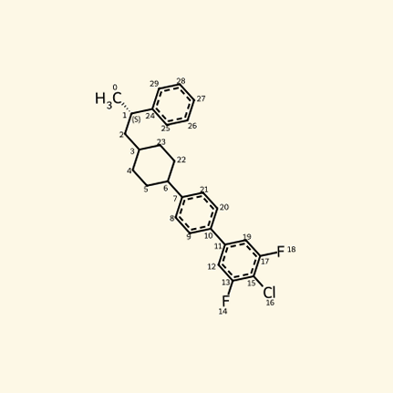 C[C@@H](CC1CCC(c2ccc(-c3cc(F)c(Cl)c(F)c3)cc2)CC1)c1ccccc1